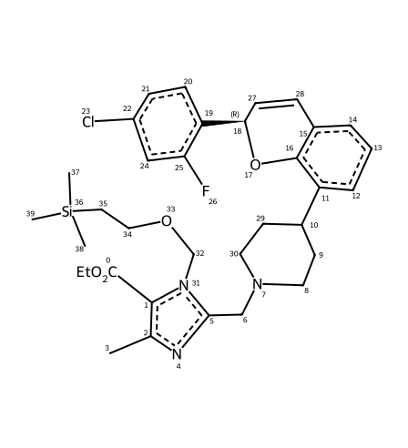 CCOC(=O)c1c(C)nc(CN2CCC(c3cccc4c3O[C@@H](c3ccc(Cl)cc3F)C=C4)CC2)n1COCC[Si](C)(C)C